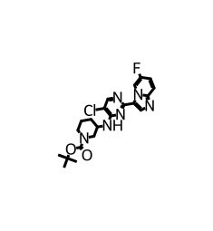 CC(C)(C)OC(=O)N1CCCC(Nc2nc(-c3cnc4ccc(F)cn34)ncc2Cl)C1